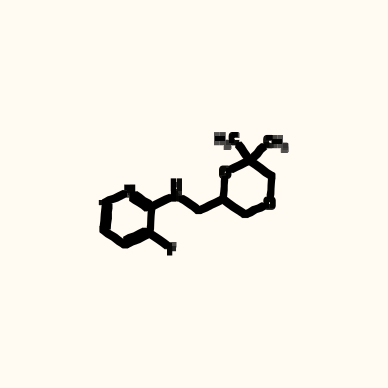 CC1(C)COCC(CNc2n[c]ccc2F)O1